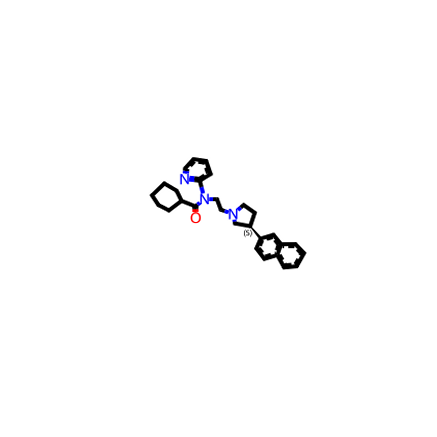 O=C(C1CCCCC1)N(CCN1CC[C@@H](c2ccc3ccccc3c2)C1)c1ccccn1